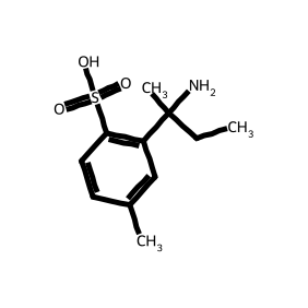 CCC(C)(N)c1cc(C)ccc1S(=O)(=O)O